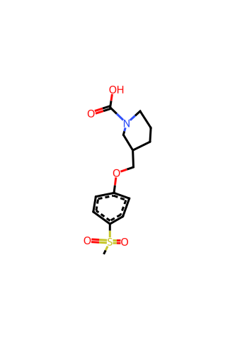 CS(=O)(=O)c1ccc(OCC2CCCN(C(=O)O)C2)cc1